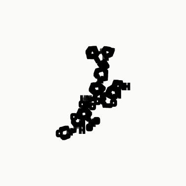 Cc1ccccc1[C@@H]1CCCN1C1CC2(CCN(c3ccc(C(=O)NS(=O)(=O)c4cc5c(c([N+](=O)[O-])c4)N[C@H](CN4CCOCC4)CO5)c(N4CCCOc5nc6[nH]ccc6cc54)c3)CC2)C1